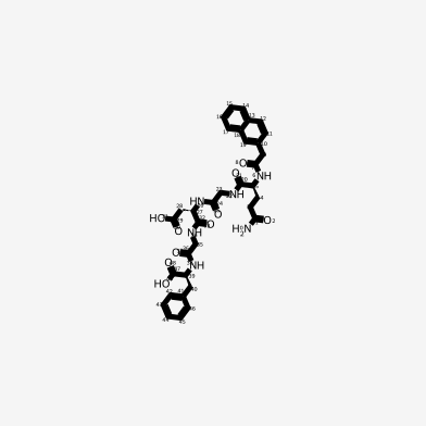 NC(=O)CC[C@H](NC(=O)Cc1ccc2ccccc2c1)C(=O)NCC(=O)N[C@@H](CC(=O)O)C(=O)NCC(=O)N[C@@H](Cc1ccccc1)C(=O)O